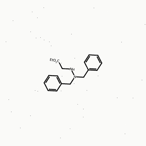 CCOC(=O)CNN(Cc1ccccc1)Cc1ccccc1